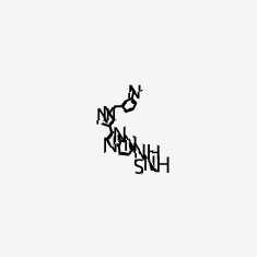 CCNC(=S)Nc1ccc2ncc(-c3cnn(Cc4cccc(N(C)C)c4)c3)nc2n1